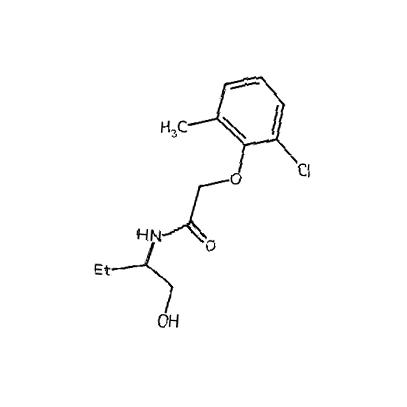 CCC(CO)NC(=O)COc1c(C)cccc1Cl